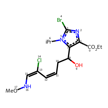 CCOC(=O)c1nc(Br)n(C(C)C)c1C(O)C/C=C\C(Cl)=C/NOC